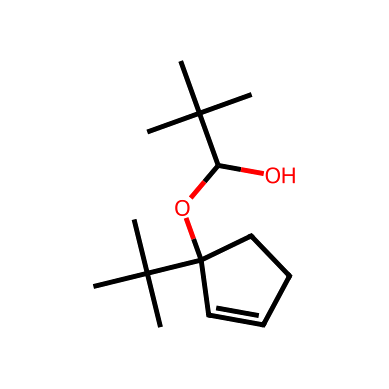 CC(C)(C)C(O)OC1(C(C)(C)C)C=CCC1